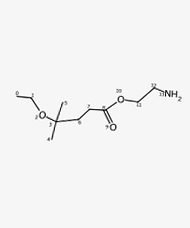 CCOC(C)(C)CCC(=O)OCCN